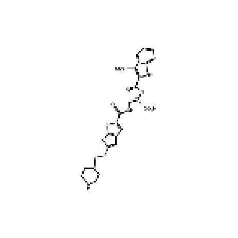 COc1c(C(=O)N[C@@H](CNC(=O)c2cc3cc(CCC4CCNCC4)sc3s2)C(=O)O)[nH]c2ccccc12